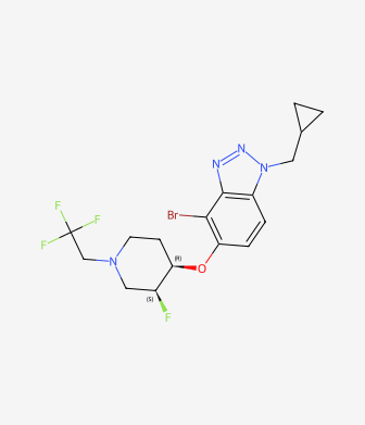 F[C@H]1CN(CC(F)(F)F)CC[C@H]1Oc1ccc2c(nnn2CC2CC2)c1Br